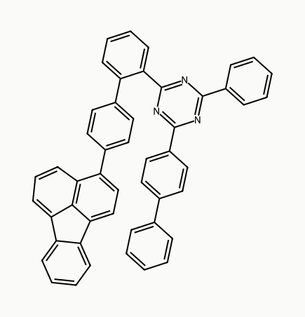 c1ccc(-c2ccc(-c3nc(-c4ccccc4)nc(-c4ccccc4-c4ccc(-c5ccc6c7c(cccc57)-c5ccccc5-6)cc4)n3)cc2)cc1